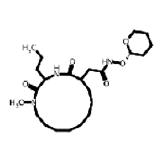 CCCC1NC(=O)C(CC(=O)NO[C@H]2CCCCO2)CCCCCCCCN(C)C1=O